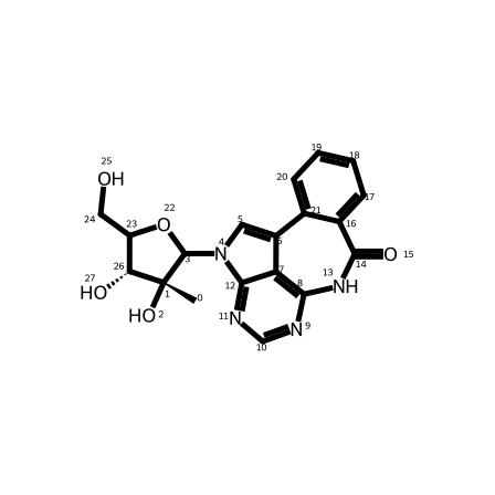 C[C@]1(O)C(n2cc3c4c(ncnc42)NC(=O)c2ccccc2-3)OC(CO)[C@H]1O